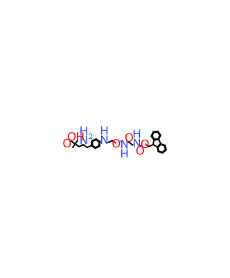 CC(C)(C[C@H](N)Cc1ccc(NCCOCNC(=O)CNC(=O)OCC2c3ccccc3-c3ccccc32)cc1)C(=O)O